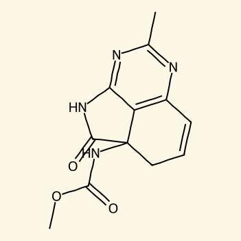 COC(=O)NC12CC=Cc3nc(C)nc(c31)NC2=O